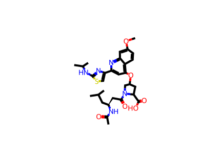 COc1ccc2c(OC3CC(C(=O)O)N(C(=O)C[C@H](CC(C)C)NC(C)=O)C3)cc(-c3csc(NC(C)C)n3)nc2c1